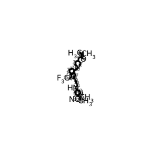 CN(C)C(=O)CC1CCN(Cc2cccc3c2cc(C#CCNc2ccc(C(C)(C)C#N)nc2)n3CC(F)(F)F)CC1